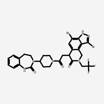 O=C(CC1C(=O)N(CC(F)(F)F)Cc2c1cc(Br)c1[nH]nc(Br)c21)N1CCC(N2CCc3ccccc3NC2=O)CC1